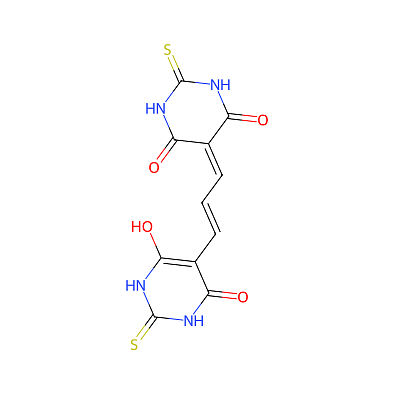 O=C1NC(=S)NC(=O)C1=C/C=C/c1c(O)[nH]c(=S)[nH]c1=O